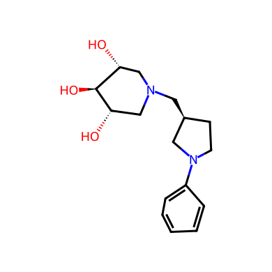 O[C@H]1[C@H](O)CN(C[C@H]2CCN(c3ccccc3)C2)C[C@@H]1O